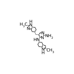 Cc1cc2cc(Nc3nc(N)ncc3Cc3ccc4[nH]c(C)nc4c3)ccc2[nH]1